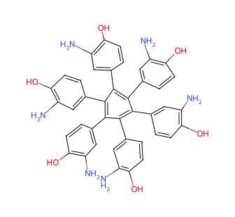 Nc1cc(-c2c(-c3ccc(O)c(N)c3)c(-c3ccc(O)c(N)c3)c(-c3ccc(O)c(N)c3)c(-c3ccc(O)c(N)c3)c2-c2ccc(O)c(N)c2)ccc1O